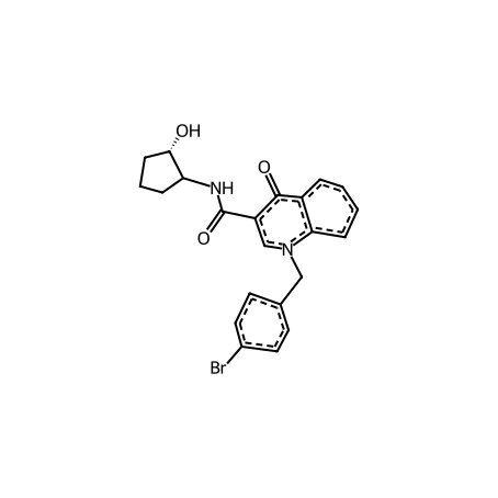 O=C(NC1CCC[C@@H]1O)c1cn(Cc2ccc(Br)cc2)c2ccccc2c1=O